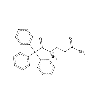 NC(=O)CC[C@H](N)C(=O)C(c1ccccc1)(c1ccccc1)c1ccccc1